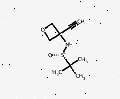 C#CC1(N[S@@+]([O-])C(C)(C)C)COC1